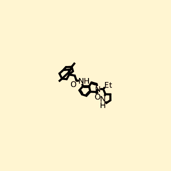 CCC(C1CCCN1)n1ccc2c(NC(=O)CC34CC5CC(C)(CC(C)(C5)C3)C4)cccc2c1=O